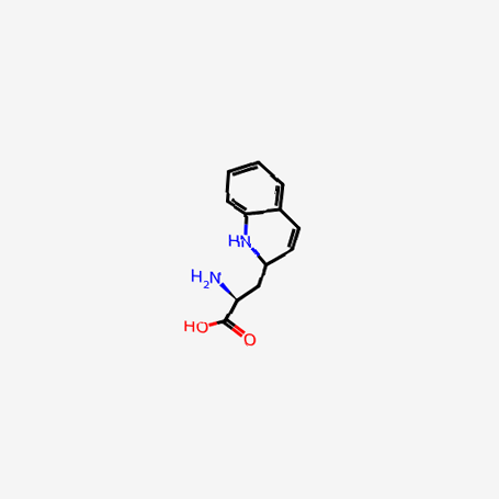 N[C@@H](CC1C=Cc2ccccc2N1)C(=O)O